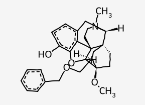 CO[C@]12CC[C@@]3(C[C@@H]1COCc1ccccc1)[C@H]1Cc4ccc(O)c5c4[C@@]3(CCN1C)[C@H]2O5